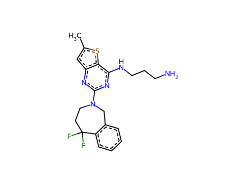 Cc1cc2nc(N3CCC(F)(F)c4ccccc4C3)nc(NCCCN)c2s1